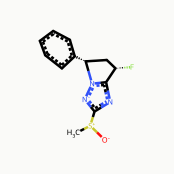 C[S+]([O-])c1nc2n(n1)[C@H](c1ccccc1)C[C@@H]2F